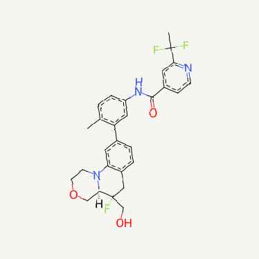 Cc1ccc(NC(=O)c2ccnc(C(C)(F)F)c2)cc1-c1ccc2c(c1)N1CCOC[C@@H]1[C@](F)(CO)C2